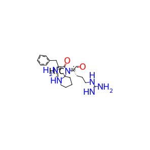 CC1(N(C(=O)[C@@H](N)Cc2ccccc2)[C@H]([C]=O)CCCNC(=N)N)CCCCN1